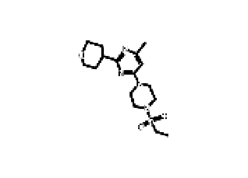 CCS(=O)(=O)N1CCN(c2cc(C)nc(C3CCOCC3)n2)CC1